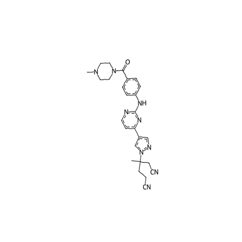 CN1CCN(C(=O)c2ccc(Nc3nccc(-c4cnn(C(C)(CC#N)CCC#N)c4)n3)cc2)CC1